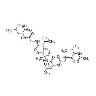 CC(=O)NC(C(=O)NCC(=O)NC(CC(C)C)C(=O)NC(C)(C)C(=O)NC(C(=O)NCC(=O)NC(CC(C)C)C(N)=O)C(C)C)C(C)C